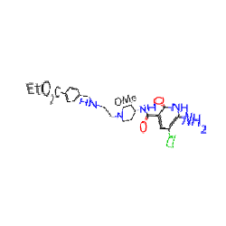 CCOC(=O)c1ccc(CNCCN2CC[C@@H](NC(=O)c3cc(Cl)c(N)[nH]c3=O)[C@@H](OC)C2)cc1